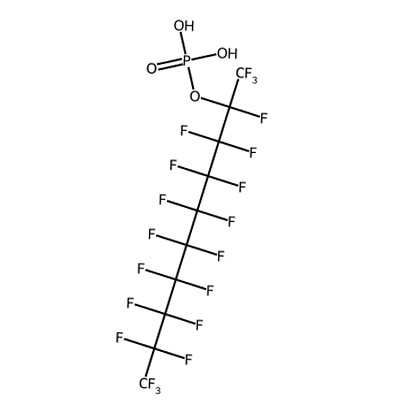 O=P(O)(O)OC(F)(C(F)(F)F)C(F)(F)C(F)(F)C(F)(F)C(F)(F)C(F)(F)C(F)(F)C(F)(F)C(F)(F)F